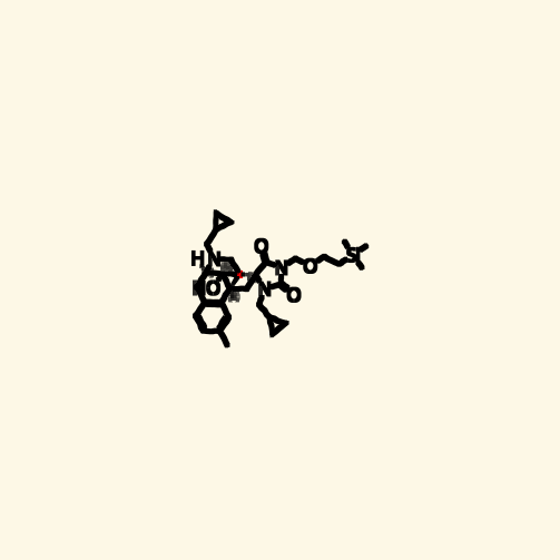 Cc1ccc2c(c1)[C@]13CCN(CC4CC4)[C@H](C2)[C@]1(O)CC[C@]1(C3)C(=O)N(COCC[Si](C)(C)C)C(=O)N1CC1CC1